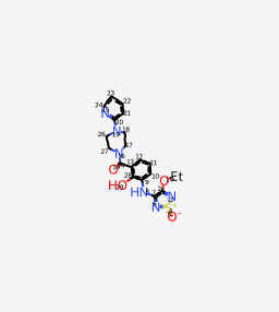 CCOc1n[s+]([O-])nc1Nc1cccc(C(=O)N2CCN(c3ccccn3)CC2)c1O